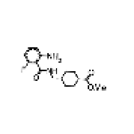 COC(=O)[C@H]1CC[C@H](CNC(=O)c2c(N)cccc2F)CC1